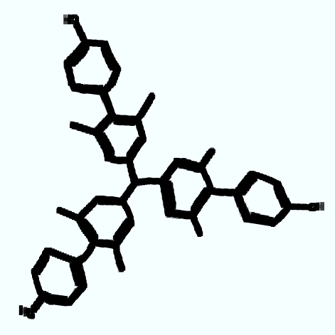 Cc1cc(C(c2cc(C)c(-c3ccc(O)cc3)c(C)c2)c2cc(C)c(-c3ccc(O)cc3)c(C)c2)cc(C)c1-c1ccc(O)cc1